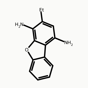 CCc1cc(N)c2c(oc3ccccc32)c1N